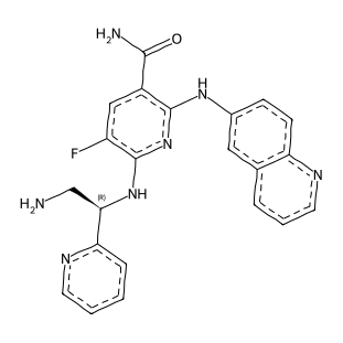 NC[C@@H](Nc1nc(Nc2ccc3ncccc3c2)c(C(N)=O)cc1F)c1ccccn1